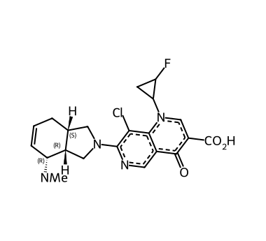 CN[C@@H]1C=CC[C@@H]2CN(c3ncc4c(=O)c(C(=O)O)cn(C5CC5F)c4c3Cl)C[C@@H]21